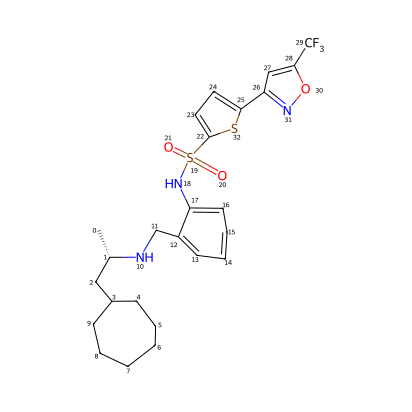 C[C@@H](CC1CCCCCC1)NCc1ccccc1NS(=O)(=O)c1ccc(-c2cc(C(F)(F)F)on2)s1